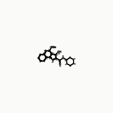 CSc1nc2ccccc2c2sc(C(=O)OC3CCCCC3)c(O)c12